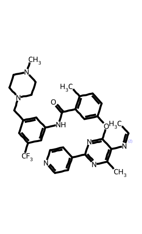 C/C=N\c1c(C)nc(-c2ccncc2)nc1Oc1ccc(C)c(C(=O)Nc2cc(CN3CCN(C)CC3)cc(C(F)(F)F)c2)c1